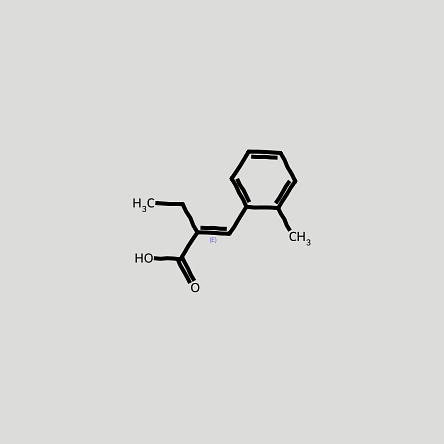 CC/C(=C\c1ccccc1C)C(=O)O